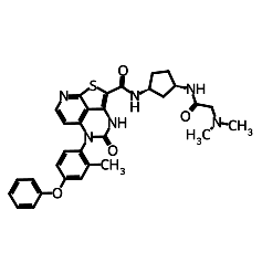 Cc1cc(Oc2ccccc2)ccc1N1C(=O)Nc2c(C(=O)N[C@H]3CC[C@@H](NC(=O)CN(C)C)C3)sc3nccc1c23